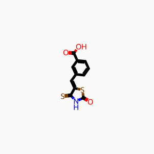 O=C1NC(=S)/C(=C/c2cccc(C(=O)O)c2)S1